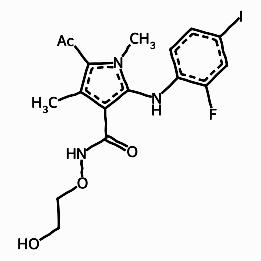 CC(=O)c1c(C)c(C(=O)NOCCO)c(Nc2ccc(I)cc2F)n1C